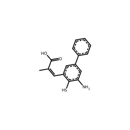 CC(=Cc1cc(-c2ccccc2)cc(N)c1S)C(=O)O